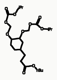 CCCCOC(=O)CCC1CCC(OCOC(=O)OC(C)C)C(OCOC(=O)OC(C)C)C1